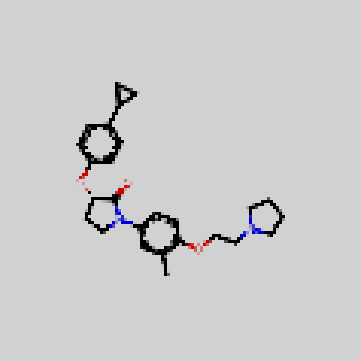 Cc1cc(N2CC[C@H](Oc3ccc(C4CC4)cc3)C2=O)ccc1OCCN1CCCC1